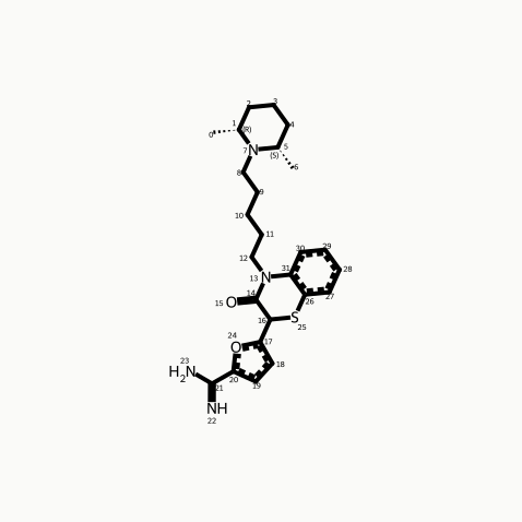 C[C@@H]1CCC[C@H](C)N1CCCCCN1C(=O)C(c2ccc(C(=N)N)o2)Sc2ccccc21